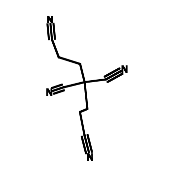 N#CCCC(C#N)(C#N)CCC#N